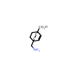 NCC12C=CC(C(=O)O)(CC1)CC2